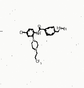 CCNCc1ccc(C(=O)Nc2ccc(Cl)cc2N2CCN(CCC(F)(F)F)CC2)cc1